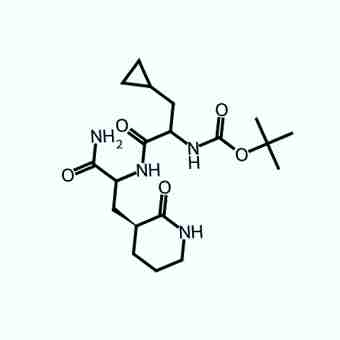 CC(C)(C)OC(=O)NC(CC1CC1)C(=O)NC(C[C@@H]1CCCNC1=O)C(N)=O